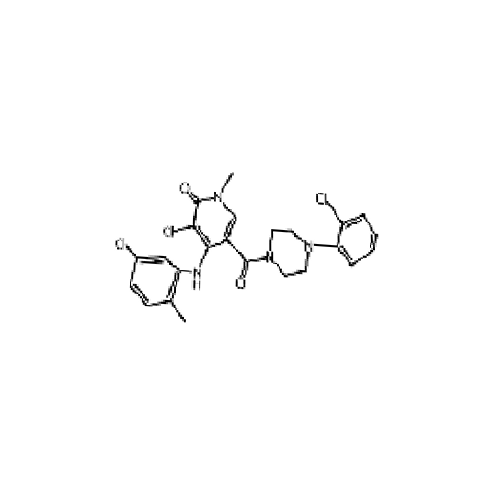 Cc1ccc(Cl)cc1Nc1c(C(=O)N2CCN(c3ccccc3Cl)CC2)cn(C)c(=O)c1Cl